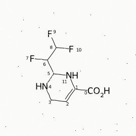 O=C(O)C1=CCNC(C(F)C(F)F)N1